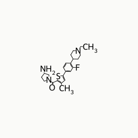 CCN1CCC(c2ccc(-c3cc(C)c(C(=O)N4CC[C@H](N)C4)s3)cc2F)CC1